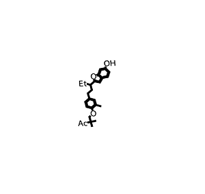 CCC(CCc1ccc(OCC(C)(C)C(C)=O)c(C)c1)c1cc2ccc(O)cc2o1